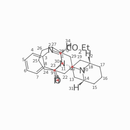 CCOC(=O)c1nc2ccccc2c(=O)n1[C@H]1C[C@H]2CCC[C@@H](C1)N2C1C[C@H]2CCCC[C@@H](C1)C2